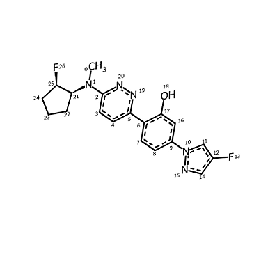 CN(c1ccc(-c2ccc(-n3cc(F)cn3)cc2O)nn1)[C@H]1CCC[C@H]1F